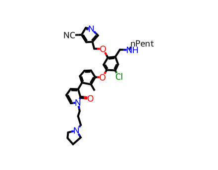 CCCCCNCc1cc(Cl)c(Oc2cccc(-c3cccn(CCCN4CCCC4)c3=O)c2C)cc1OCc1cncc(C#N)c1